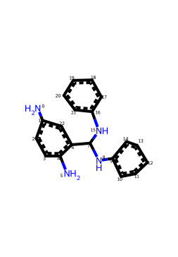 Nc1ccc(N)c(C(Nc2ccccc2)Nc2ccccc2)c1